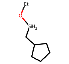 CCO[SiH2]CC1CCCC1